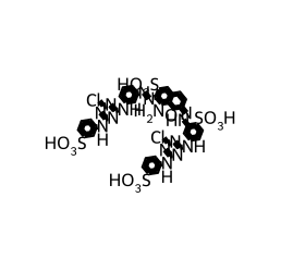 Nc1c(/N=N/c2cccc(Nc3nc(Cl)nc(Nc4cccc(S(=O)(=O)O)c4)n3)c2)c(S(=O)(=O)O)cc2c1C(=O)/C(=N\Nc1cc(Nc3nc(Cl)nc(Nc4cccc(S(=O)(=O)O)c4)n3)ccc1S(=O)(=O)O)C=C2